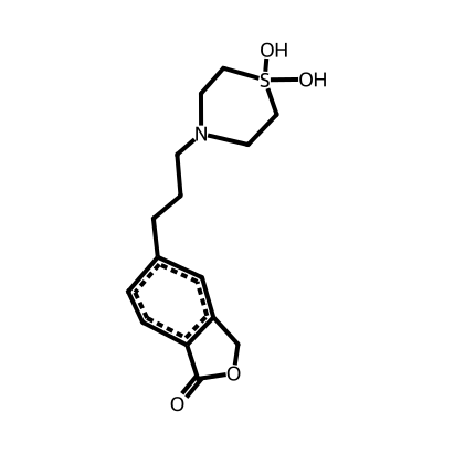 O=C1OCc2cc(CCCN3CCS(O)(O)CC3)ccc21